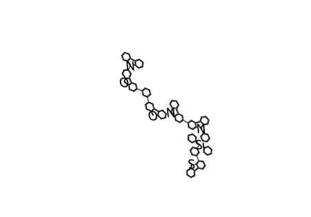 c1ccc([Si](c2ccccc2)(c2cccc(-c3cccc4c3sc3ccccc34)c2)c2cccc(-n3c4ccccc4c4cc(-c5ccc6c(c5)c5ccccc5n6-c5ccc6oc7ccc(-c8cccc(-c9ccc%10oc%11ccc(-n%12c%13ccccc%13c%13ccccc%13%12)cc%11c%10c9)c8)cc7c6c5)ccc43)c2)cc1